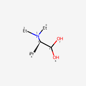 CCN(CC)[C@H](C(C)C)C(O)O